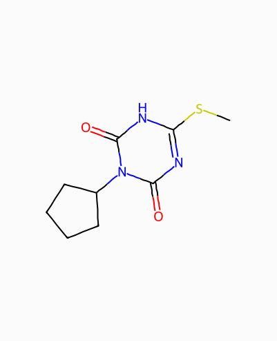 CSc1nc(=O)n(C2CCCC2)c(=O)[nH]1